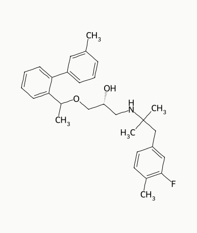 Cc1cccc(-c2ccccc2C(C)OC[C@H](O)CNC(C)(C)Cc2ccc(C)c(F)c2)c1